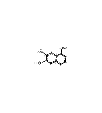 COc1cccc2cc(C(=O)O)c(OC(C)=O)cc12